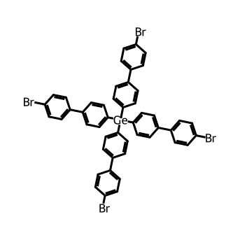 Brc1ccc(-c2cc[c]([Ge]([c]3ccc(-c4ccc(Br)cc4)cc3)([c]3ccc(-c4ccc(Br)cc4)cc3)[c]3ccc(-c4ccc(Br)cc4)cc3)cc2)cc1